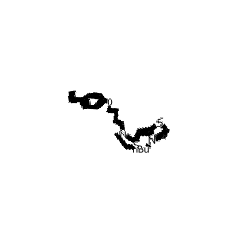 C=Cc1ccc(OCCCC[N+]2=C(C=C3SCCN3CCCC)SCC2)cc1